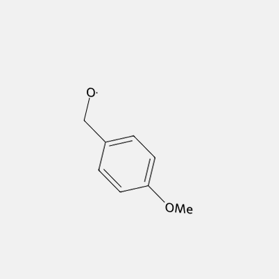 COc1ccc(C[O])cc1